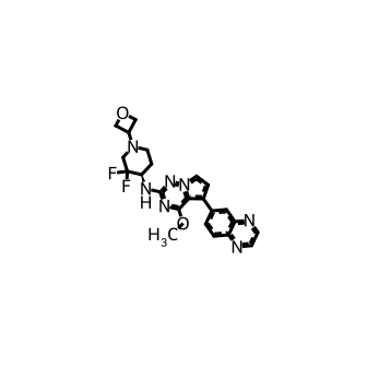 COc1nc(N[C@@H]2CCN(C3COC3)CC2(F)F)nn2ccc(-c3ccc4nccnc4c3)c12